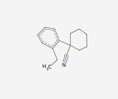 CCc1ccccc1C1(C#N)CCCCC1